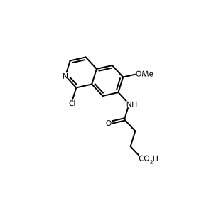 COc1cc2ccnc(Cl)c2cc1NC(=O)CCC(=O)O